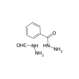 NNC(=O)c1ccccc1.NNC=O